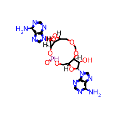 Nc1ncnc2c1ncn2[C@@H]1O[C@@H]2CO[PH](=O)O[C@@H]3[C@H](O)[C@@H](COCO[C@H]2[C@H]1O)O[C@H]3n1cnc2c(N)ncnc21